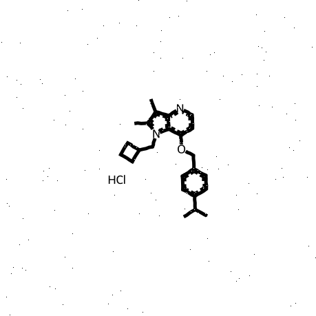 Cc1c(C)n(CC2CCC2)c2c(OCc3ccc(C(C)C)cc3)ccnc12.Cl